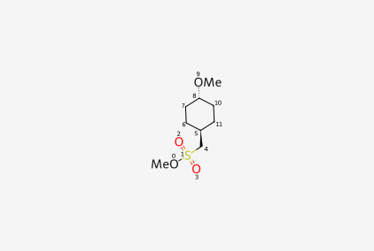 COS(=O)(=O)C[C@H]1CC[C@H](OC)CC1